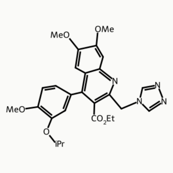 CCOC(=O)c1c(Cn2cnnc2)nc2cc(OC)c(OC)cc2c1-c1ccc(OC)c(OC(C)C)c1